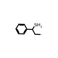 [CH2]CC([SiH3])c1ccccc1